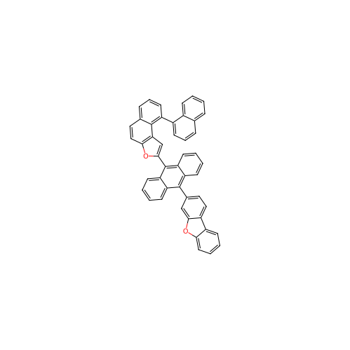 c1ccc2c(-c3cccc4ccc5oc(-c6c7ccccc7c(-c7ccc8c(c7)oc7ccccc78)c7ccccc67)cc5c34)cccc2c1